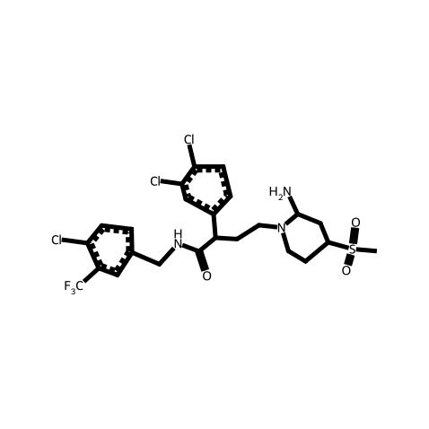 CS(=O)(=O)C1CCN(CCC(C(=O)NCc2ccc(Cl)c(C(F)(F)F)c2)c2ccc(Cl)c(Cl)c2)C(N)C1